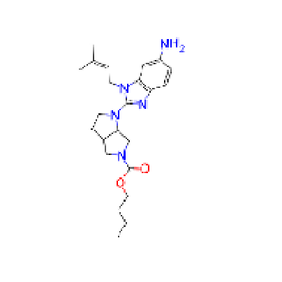 CCCCOC(=O)N1CC2CCN(c3nc4ccc(N)cc4n3CC=C(C)C)C2C1